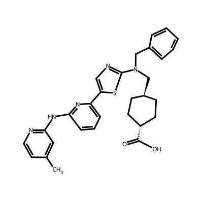 Cc1ccnc(Nc2cccc(-c3cnc(N(Cc4ccccc4)C[C@H]4CC[C@H](C(=O)O)CC4)s3)n2)c1